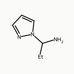 CCC(N)n1cc[c]n1